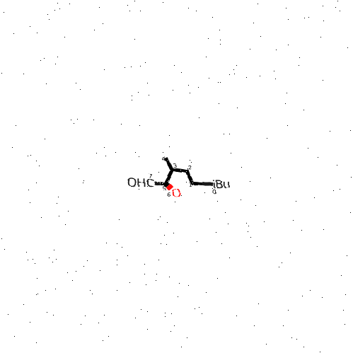 CCC(C)CCC(C)C(=O)C=O